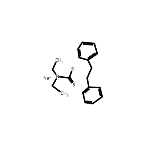 CCN(CC)C(=S)[S-].[Na+].c1ccc(CCc2ccccc2)cc1